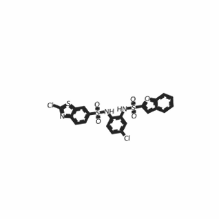 O=S(=O)(Nc1ccc(Cl)cc1NS(=O)(=O)c1cc2ccccc2o1)c1ccc2nc(Cl)sc2c1